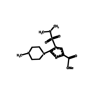 COC(=O)c1cn(S(=O)(=O)N(C)C)c(N2CCN(C)CC2)n1